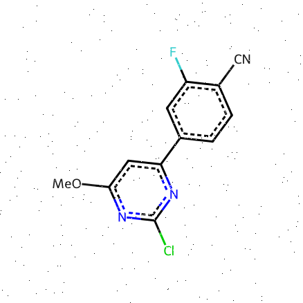 COc1cc(-c2ccc(C#N)c(F)c2)nc(Cl)n1